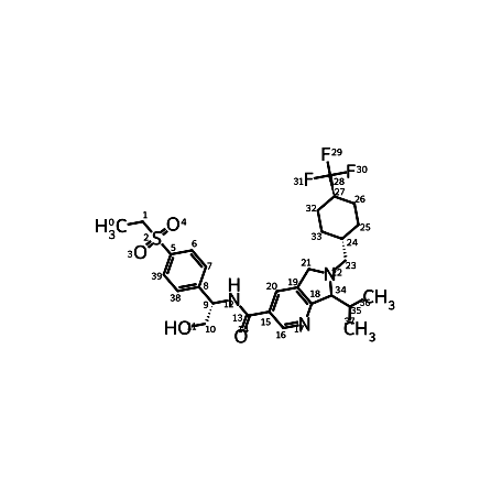 CCS(=O)(=O)c1ccc([C@@H](CO)NC(=O)c2cnc3c(c2)CN(C[C@H]2CC[C@H](C(F)(F)F)CC2)C3C(C)C)cc1